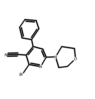 N#Cc1c(-c2ccccc2)cc(N2CCOCC2)nc1Br